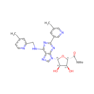 CNC(=O)[C@H]1O[C@@H](n2cnc3c(NCc4cc(C)ccn4)nc(-c4cncc(C)c4)nc32)[C@H](O)[C@@H]1O